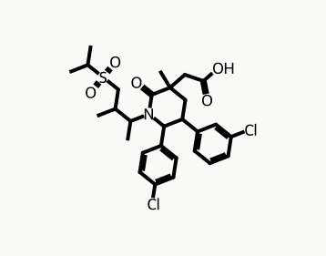 CC(CS(=O)(=O)C(C)C)C(C)N1C(=O)C(C)(CC(=O)O)CC(c2cccc(Cl)c2)C1c1ccc(Cl)cc1